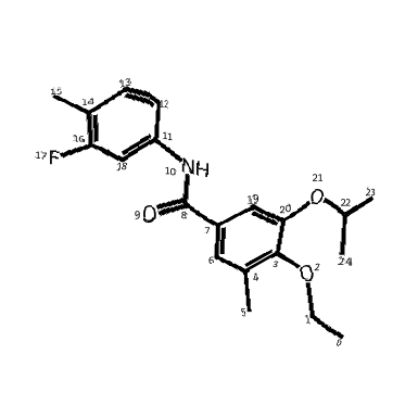 CCOc1c(C)cc(C(=O)Nc2ccc(C)c(F)c2)cc1OC(C)C